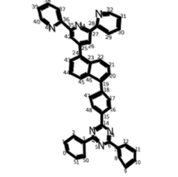 c1ccc(-c2nc(-c3ccccc3)nc(-c3ccc(-c4cccc5c(-c6cc(-c7ccccn7)nc(-c7ccccn7)c6)cccc45)cc3)n2)cc1